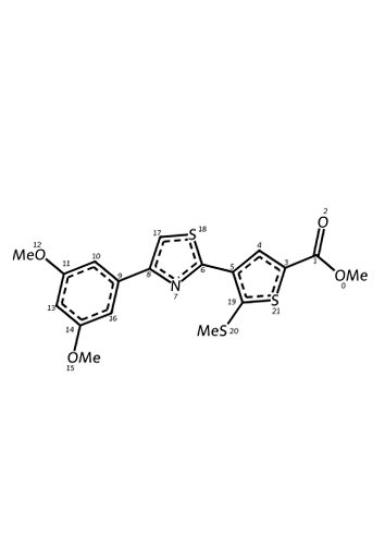 COC(=O)c1cc(-c2nc(-c3cc(OC)cc(OC)c3)cs2)c(SC)s1